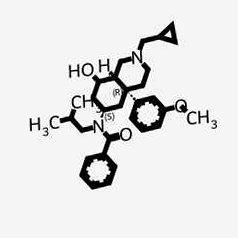 COc1cccc([C@@]23CCN(CC4CC4)C[C@H]2C(O)C[C@@H](N(CC(C)C)C(=O)c2ccccc2)C3)c1